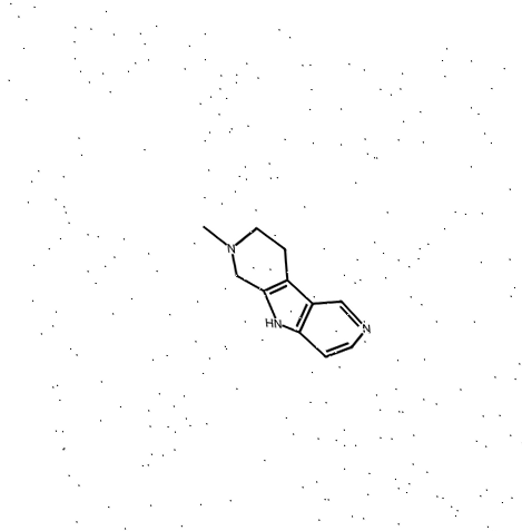 CN1CCc2c([nH]c3ccncc23)C1